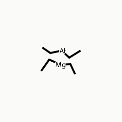 C[CH2][Al][CH2]C.C[CH2][Mg][CH2]C